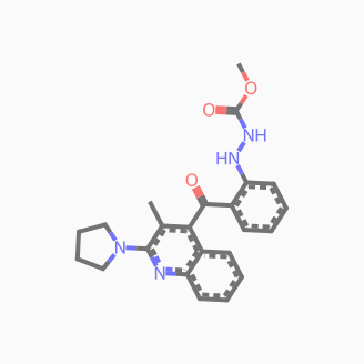 COC(=O)NNc1ccccc1C(=O)c1c(C)c(N2CCCC2)nc2ccccc12